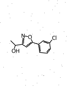 CC(O)c1cc(-c2cccc(Cl)c2)on1